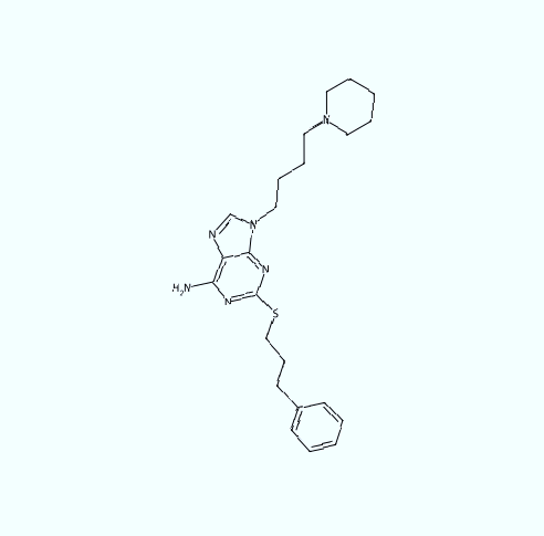 Nc1nc(SCCCc2ccccc2)nc2c1ncn2CCCCN1CCCCC1